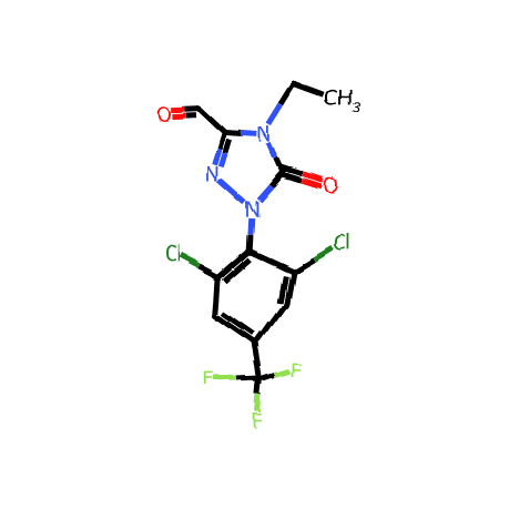 CCn1c(C=O)nn(-c2c(Cl)cc(C(F)(F)F)cc2Cl)c1=O